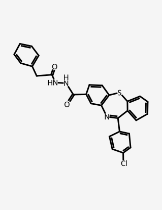 O=C(Cc1ccccc1)NNC(=O)c1ccc2c(c1)N=C(c1ccc(Cl)cc1)c1ccccc1S2